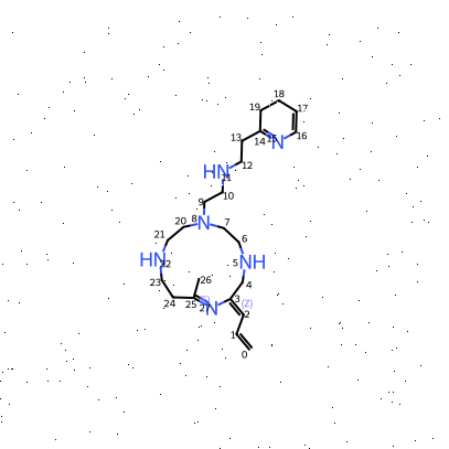 C=C/C=C1CNCCN(CCNCCC2=NC=CCC2)CCNCC/C(C)=N/1